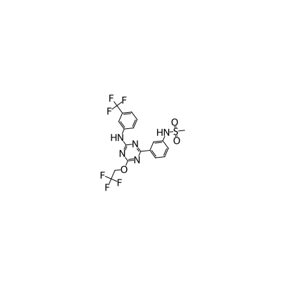 CS(=O)(=O)Nc1cccc(-c2nc(Nc3cccc(C(F)(F)F)c3)nc(OCC(F)(F)F)n2)c1